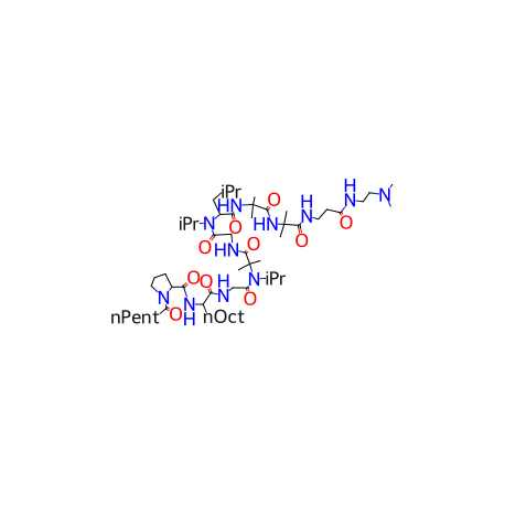 CCCCCCCCC(NC(=O)C1CCCN1C(=O)CCCCC)C(=O)NCC(=O)N(C(C)C)C(C)(C)C(=O)NCC(=O)N(C(C)C)C(CC(C)C)C(=O)NC(C)(C)C(=O)NC(C)(C)C(=O)NCCC(=O)NCCN(C)C